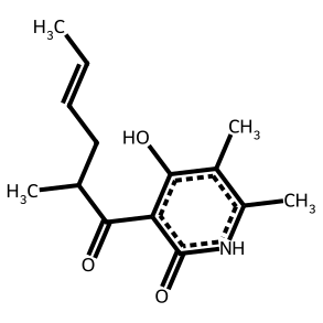 C/C=C/CC(C)C(=O)c1c(O)c(C)c(C)[nH]c1=O